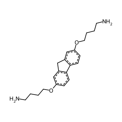 NCCCCOc1ccc2c(c1)Cc1cc(OCCCCN)ccc1-2